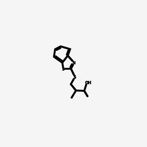 CC(O)C(C)CSc1nc2ccccc2s1